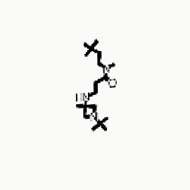 CN(CCC(C)(C)C)C(=O)CCNC1(C)CN(C(C)(C)C)C1